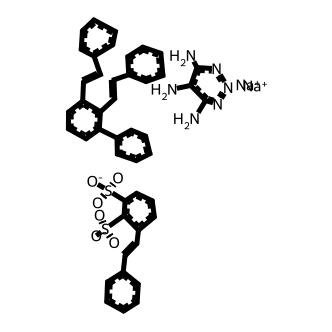 C(=Cc1cccc(-c2ccccc2)c1C=Cc1ccccc1)c1ccccc1.Nc1nnnc(N)c1N.O=S(=O)([O-])c1cccc(C=Cc2ccccc2)c1S(=O)(=O)[O-].[Na+].[Na+]